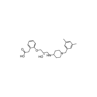 Cc1cc(C)cc(CN2CCC(NC[C@H](O)COc3ccccc3CC(=O)O)CC2)c1